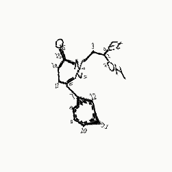 CCC(O)CN1N=C(c2ccccc2)CCC1=O